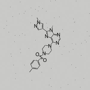 Cc1ccc(S(=O)(=O)N2CCN(c3ncnc4c3nc(-c3cnn(C)c3)n4C)CC2)cc1